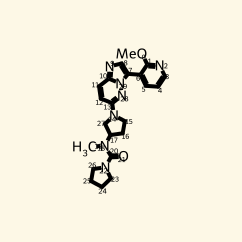 COc1ncccc1-c1cnc2ccc(N3CCC(N(C)C(=O)N4CCCC4)C3)nn12